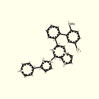 COc1ccc(C(F)(F)F)cc1-c1cc[c]cc1-c1cn2ccnc2c(-n2ccc(-c3ccncc3)n2)n1